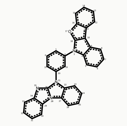 c1cc(-n2c3ccccc3c3c4ccccc4oc32)cc(-n2c3ccccc3n3c4ccccc4nc23)c1